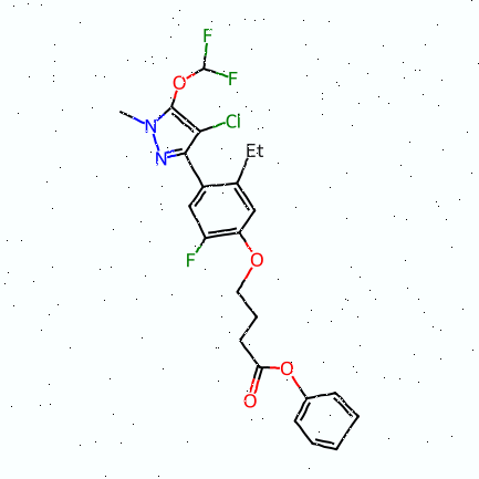 CCc1cc(OCCCC(=O)Oc2ccccc2)c(F)cc1-c1nn(C)c(OC(F)F)c1Cl